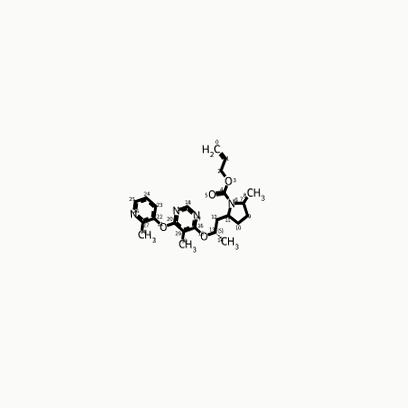 C=CCOC(=O)N1C(C)CCC1C[C@H](C)Oc1ncnc(Oc2cccnc2C)c1C